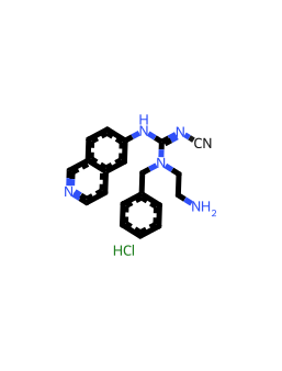 Cl.N#CN=C(Nc1ccc2cnccc2c1)N(CCN)Cc1ccccc1